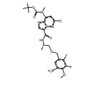 COc1c(N)cc(COC[C@@H](C)NC(=O)c2cnc3c(N(C)C(=O)OC(C)(C)C)cc(Cl)nn23)c(F)c1F